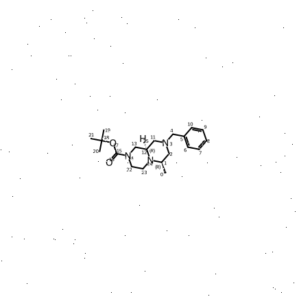 C[C@@H]1CN(Cc2ccccc2)C[C@@H]2CN(C(=O)OC(C)(C)C)CCN21